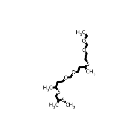 CCOCOCCSC(C)CCOCOCCC(C)SCC(C)SC